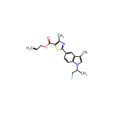 C=CCOC(=O)c1sc(-c2ccc3c(c2)c(C#N)cn3C(C)CF)nc1C